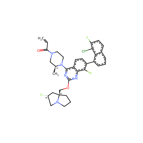 C=CC(=O)N1CCN(c2nc(OC[C@@]34CCCN3C[C@H](F)C4)nc3c(F)c(-c4cccc5ccc(F)c(Cl)c45)ccc23)[C@@H](C)C1